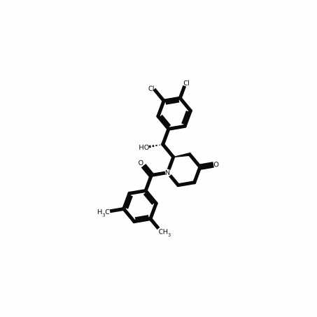 Cc1cc(C)cc(C(=O)N2CCC(=O)C[C@@H]2[C@H](O)c2ccc(Cl)c(Cl)c2)c1